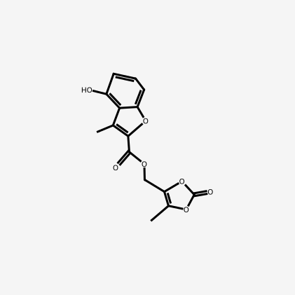 Cc1oc(=O)oc1COC(=O)c1oc2cccc(O)c2c1C